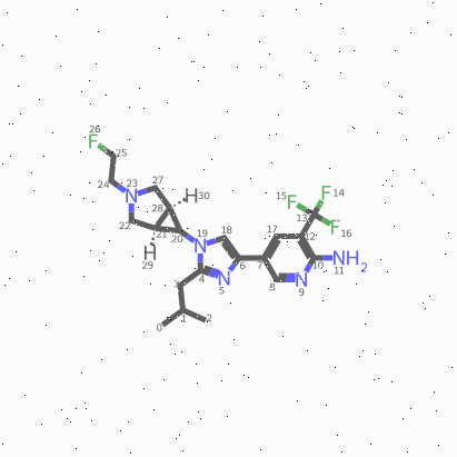 CC(C)Cc1nc(-c2cnc(N)c(C(F)(F)F)c2)cn1C1[C@H]2CN(CCF)C[C@@H]12